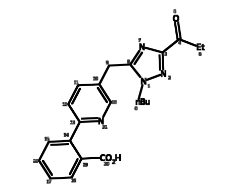 CCCCn1nc(C(=O)CC)nc1Cc1ccc(-c2ccccc2C(=O)O)nc1